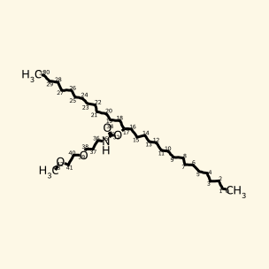 CCCCCCCCCCCCCCCCCC(CCCCCCCCCCCCCC)OC(=O)NCCCOCCOC